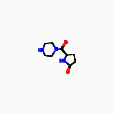 O=C1CC[C@H](C(=O)N2CCNCC2)N1